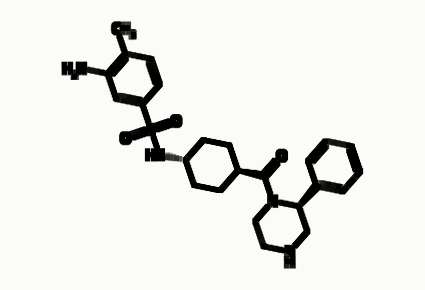 Cc1ccc(S(=O)(=O)N[C@H]2CC[C@H](C(=O)N3CCNC[C@@H]3c3ccccc3)CC2)cc1N